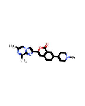 Cc1cn2cc(-c3cc4ccc(C5=CCN(C(C)C)CC5)cc4c(=O)o3)nc2c(C)n1